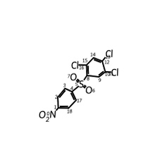 O=[N+]([O-])c1ccc(S(=O)(=O)c2cc(Cl)c(Cl)cc2Cl)cc1